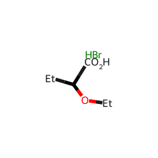 Br.CCOC(CC)C(=O)O